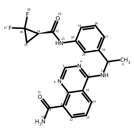 CC(Nc1ncnc2c(C(N)=O)cccc12)c1cccc(NC(=O)[C@H]2CC2(F)F)c1